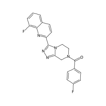 O=C(c1ccc(F)cc1)N1CCn2c(nnc2-c2ccc3cccc(F)c3n2)C1